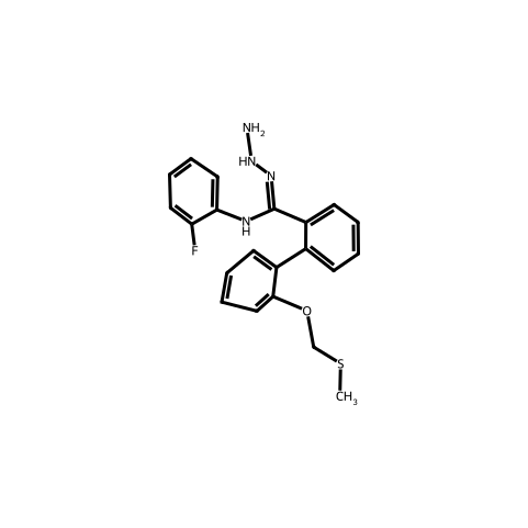 CSCOc1ccccc1-c1ccccc1/C(=N/NN)Nc1ccccc1F